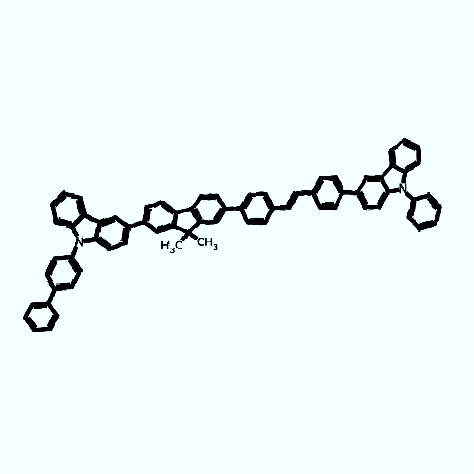 CC1(C)c2cc(-c3ccc(/C=C/c4ccc(-c5ccc6c(c5)c5ccccc5n6-c5ccccc5)cc4)cc3)ccc2-c2ccc(-c3ccc4c(c3)c3ccccc3n4-c3ccc(-c4ccccc4)cc3)cc21